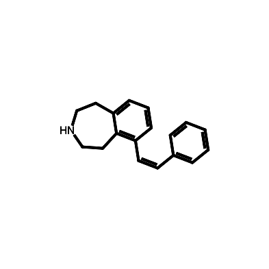 C(=C/c1cccc2c1CCNCC2)/c1ccccc1